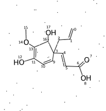 C=CCC1(C=CC(=O)O)C=CC(O)=C(OC)C1O